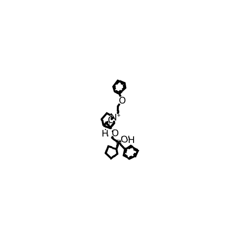 O[C@@](CO[C@@H]1C[N+]2(CCOc3ccccc3)CCC1CC2)(c1ccccc1)C1CCCC1